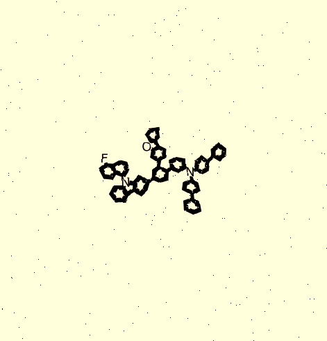 Fc1cccc2c(-n3c4ccccc4c4ccc(-c5ccc(-c6cccc(N(c7ccc(-c8ccccc8)cc7)c7ccc(-c8ccccc8)cc7)c6)c(-c6ccc7c(c6)oc6ccccc67)c5)cc43)cccc12